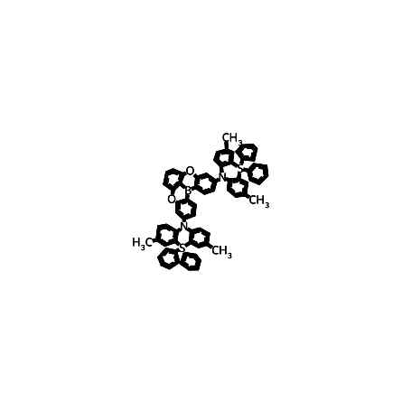 Cc1ccc2c(c1)S(c1ccccc1)(c1ccccc1)c1cc(C)ccc1N2c1ccc2c(c1)Oc1cccc3c1B2c1ccc(N2c4ccc(C)cc4S(c4ccccc4)(c4ccccc4)c4cc(C)ccc42)cc1O3